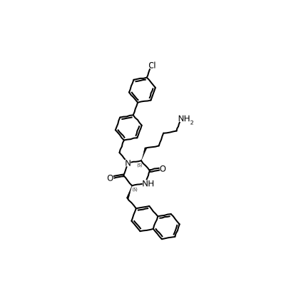 NCCCC[C@H]1C(=O)N[C@@H](Cc2ccc3ccccc3c2)C(=O)N1Cc1ccc(-c2ccc(Cl)cc2)cc1